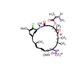 COc1cc2cc(c1Cl)N(C)C(=O)C[C@H](OC(=O)[C@H](C)N(C)C(C)=O)[C@]1(C)O[C@H]1[C@H](C)[C@@H](C)C[C@@](O)(NC(=O)O)[C@H](OC)/C=C/C=C(\C)C2